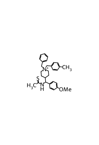 COc1ccc(C(NC(C)=S)C2CC[N+](Cc3ccccc3)(Cc3ccc(C)cc3)CC2)cc1